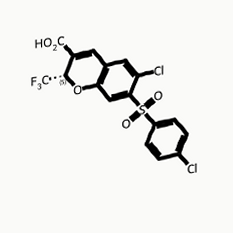 O=C(O)C1=Cc2cc(Cl)c(S(=O)(=O)c3ccc(Cl)cc3)cc2O[C@@H]1C(F)(F)F